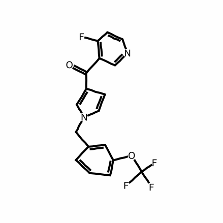 O=C(c1ccn(Cc2cccc(OC(F)(F)F)c2)c1)c1cnccc1F